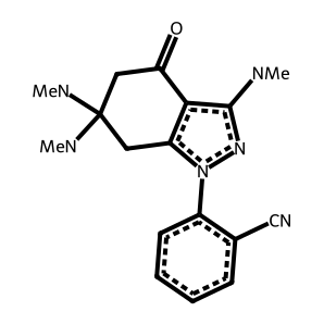 CNc1nn(-c2ccccc2C#N)c2c1C(=O)CC(NC)(NC)C2